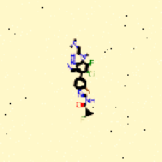 CN(C)CCN(C)c1c(F)c(Cl)c(-c2ccc3nc(NC(=O)[C@@H]4C[C@@H]4F)sc3c2)c2cn[nH]c12